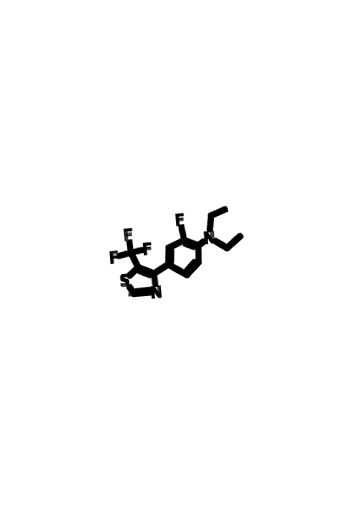 CCN(CC)c1ccc(-c2n[c]sc2C(F)(F)F)cc1F